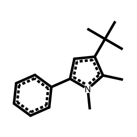 Cc1c(C(C)(C)C)cc(-c2ccccc2)n1C